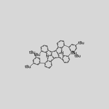 CC(C)(C)c1cc(-c2cccc3c4c5c6cccc(C(C)(C)C)c6n6c7c(-c8cc(C(C)(C)C)cc(C(C)(C)C)c8)cccc7c(c7c8cccc(C(C)(C)C)c8n(c23)c47)c56)cc(C(C)(C)C)c1